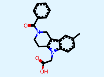 Cc1ccc2c(c1)c1c(n2CC(=O)O)CCN(C(=O)c2ccccc2)C1